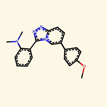 COc1ccc(-c2ccc3nnc(-c4ccccc4N(C)C)n3c2)cc1